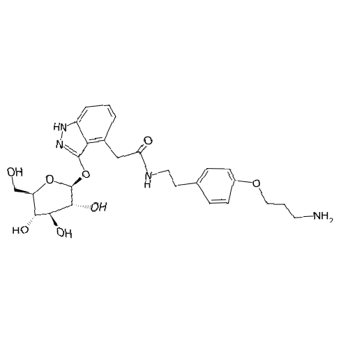 NCCCOc1ccc(CCNC(=O)Cc2cccc3[nH]nc(O[C@@H]4O[C@H](CO)[C@@H](O)[C@H](O)[C@H]4O)c23)cc1